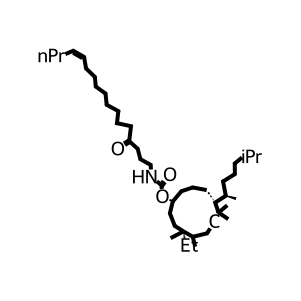 CCC/C=C\CCCCCCCCC(=O)CCCNC(=O)O[C@@H]1CCC[C@H]([C@H](C)CCCC(C)C)C(C)(C)CCC(C)[C@](C)(CC)CC1